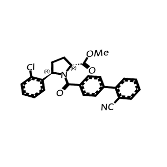 COC(=O)[C@H]1CC[C@H](c2ccccc2Cl)N1C(=O)c1ccc(-c2ccccc2C#N)cc1